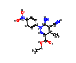 CCOC(=O)c1nn(-c2ccc([N+](=O)[O-])cc2)c(=N)c(C#N)c1C